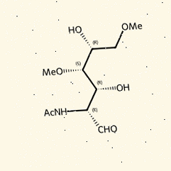 COC[C@@H](O)[C@@H](OC)[C@H](O)[C@H](C=O)NC(C)=O